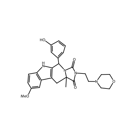 COc1ccc2[nH]c3c(c2c1)CC1(C)C(=O)N(CCN2CCOCC2)C(=O)N1C3c1cccc(O)c1